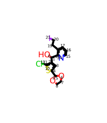 OC(c1cc(C2OCCO2)sc1Cl)c1ncccc1CCI